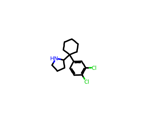 Clc1ccc(C2(C3CCCN3)CCCCC2)cc1Cl